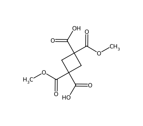 COC(=O)C1(C(=O)O)CC(C(=O)O)(C(=O)OC)C1